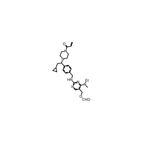 C=CC(=O)N1CCN(C(CC2CC2)c2ccc(CNc3ncc(COC=O)c(N(C)CC)n3)cc2)CC1